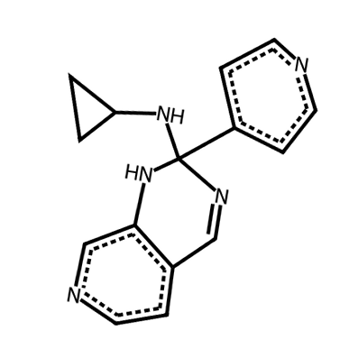 C1=NC(NC2CC2)(c2ccncc2)Nc2cnccc21